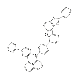 c1ccc(-c2ccc(N(c3ccccc3)c3ccc(-c4cccc5c4oc4ccc6nc(-c7ccccc7)oc6c45)cc3)c(-c3ccccc3)c2)cc1